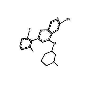 Cc1cccc(F)c1-c1cc(NC2CCCN(C)C2)c2cc(N)ncc2c1